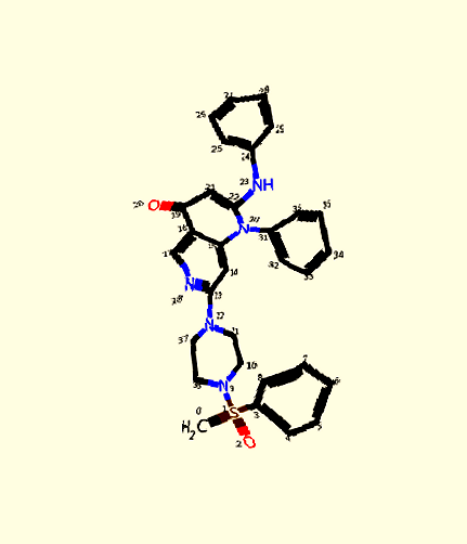 C=S(=O)(c1ccccc1)N1CCN(c2cc3c(cn2)c(=O)cc(Nc2ccccc2)n3-c2ccccc2)CC1